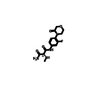 CN[C@H](C(N)=O)C(=O)Nc1ccc(N2CCOCC2=O)c(F)c1